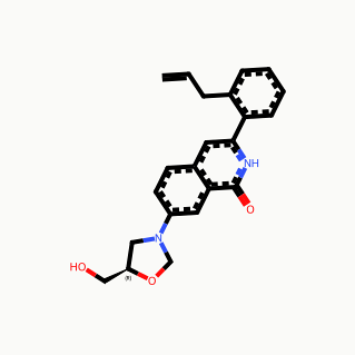 C=CCc1ccccc1-c1cc2ccc(N3CO[C@@H](CO)C3)cc2c(=O)[nH]1